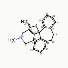 C=CCC1(C2=CCN(C)CC2)c2ccccc2CCc2ccccc21